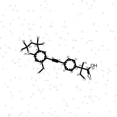 CCc1cc2c(cc1C#Cc1ccc(C(C)(CC)C(=O)O)cc1)C(C)(C)CC(C)(C)S2